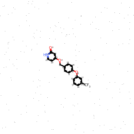 O=c1cc(OCc2ccc(Oc3cccc(C(F)(F)F)c3)cc2)cc[nH]1